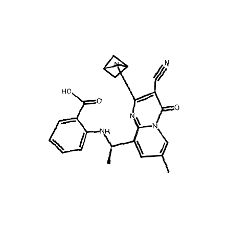 Cc1cc([C@@H](C)Nc2ccccc2C(=O)O)c2nc(N3CC4CC3C4)c(C#N)c(=O)n2c1